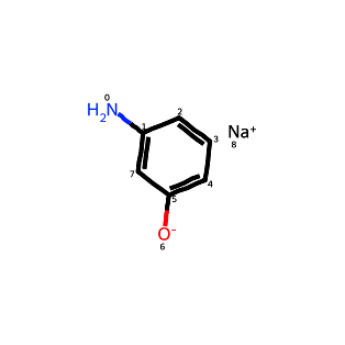 Nc1cccc([O-])c1.[Na+]